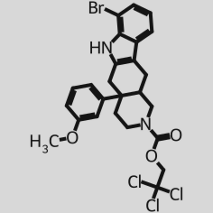 COc1cccc(C23CCN(C(=O)OCC(Cl)(Cl)Cl)CC2Cc2c([nH]c4c(Br)cccc24)C3)c1